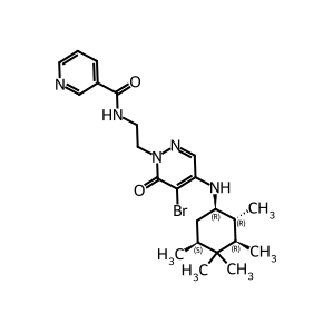 C[C@@H]1[C@@H](C)C(C)(C)[C@@H](C)C[C@H]1Nc1cnn(CCNC(=O)c2cccnc2)c(=O)c1Br